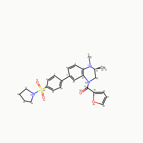 CC(=O)N1c2ccc(-c3ccc(S(=O)(=O)N4CCCC4)cc3)cc2N(C(=O)c2ccco2)C[C@@H]1C